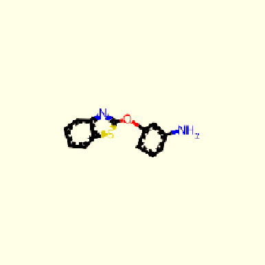 Nc1cccc(Oc2nc3ccccc3s2)c1